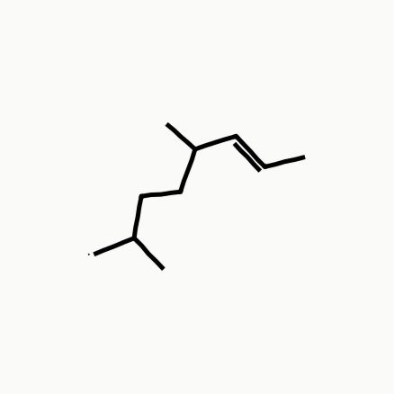 [CH2]C(C)CCC(C)/C=C/C